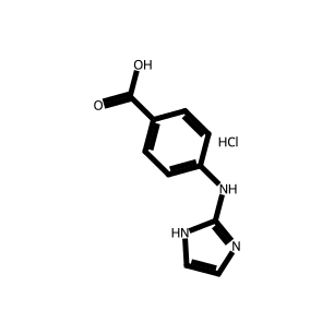 Cl.O=C(O)c1ccc(Nc2ncc[nH]2)cc1